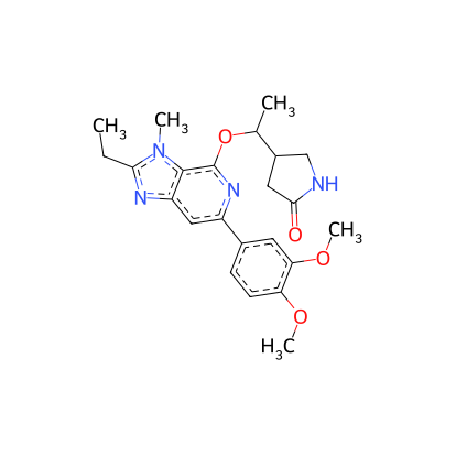 CCc1nc2cc(-c3ccc(OC)c(OC)c3)nc(OC(C)C3CNC(=O)C3)c2n1C